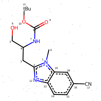 Cn1c(CC(CO)NC(=O)OC(C)(C)C)nc2ccc(C#N)cc21